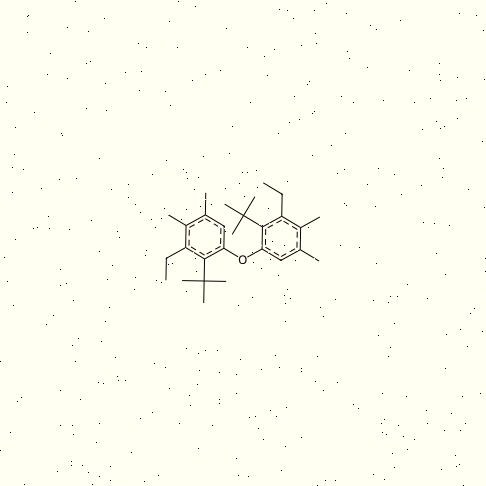 CCc1c(C)c(C)cc(Oc2cc(C)c(C)c(CC)c2C(C)(C)C)c1C(C)(C)C